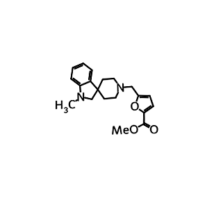 COC(=O)c1ccc(CN2CCC3(CC2)CN(C)c2ccccc23)o1